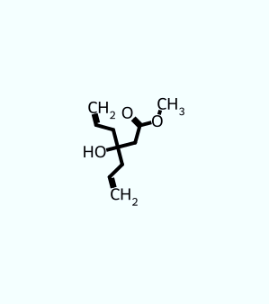 C=CCC(O)(CC=C)CC(=O)OC